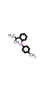 Cc1ccc([I+]c2ccccc2C(C)C)cc1